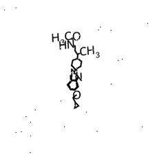 CC(=O)NCCC(C)C1CCC(n2cc3ccc(OCC4CC4)cc3n2)CC1